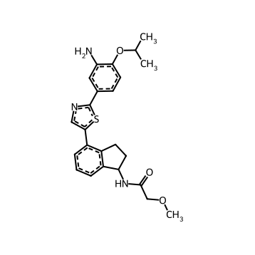 COCC(=O)NC1CCc2c(-c3cnc(-c4ccc(OC(C)C)c(N)c4)s3)cccc21